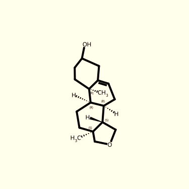 C[C@]12CC[C@@H]3[C@@H](CC=C4CC(O)CC[C@@]43C)[C@@H]1COC2